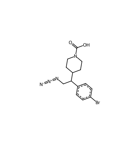 [N-]=[N+]=NCC(c1ccc(Br)cc1)C1CCN(C(=O)O)CC1